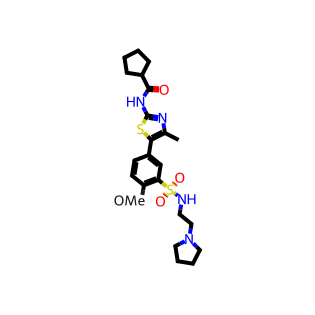 COc1ccc(-c2sc(NC(=O)C3CCCC3)nc2C)cc1S(=O)(=O)NCCN1CCCC1